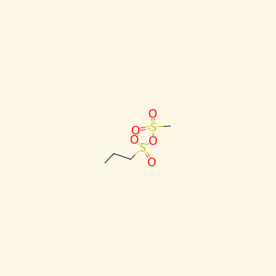 CCCS(=O)(=O)OS(C)(=O)=O